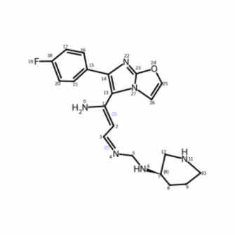 N/C(=C\C=N/CN[C@@H]1CCCNC1)c1c(-c2ccc(F)cc2)nc2occn12